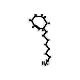 CCCCCCCCC1C=CCCCCC1